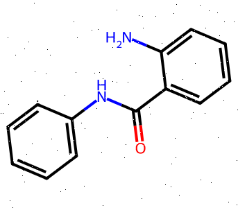 Nc1ccccc1C(=O)Nc1[c]cccc1